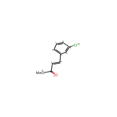 COC(=O)C=Cc1cccc(Cl)c1